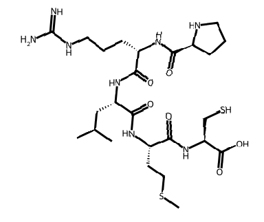 CSCC[C@H](NC(=O)[C@H](CC(C)C)NC(=O)[C@H](CCCNC(=N)N)NC(=O)[C@@H]1CCCN1)C(=O)N[C@@H](CS)C(=O)O